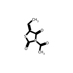 C/C=C1/SC(=O)N(C(C)=O)C1=O